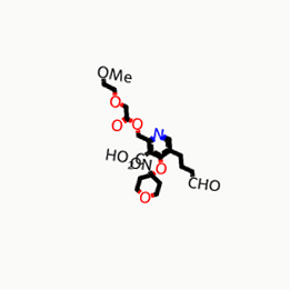 COCCOCC(=O)OCc1ncc(CCCC=O)c(OC2(N=O)CCOCC2)c1C(=O)O